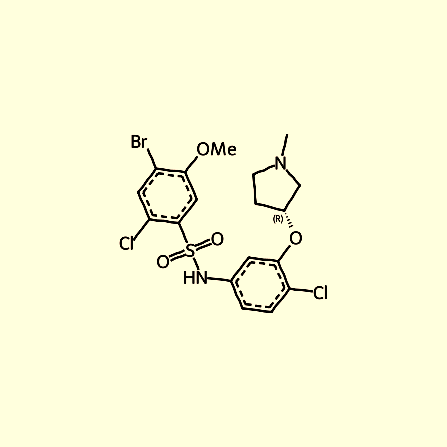 COc1cc(S(=O)(=O)Nc2ccc(Cl)c(O[C@@H]3CCN(C)C3)c2)c(Cl)cc1Br